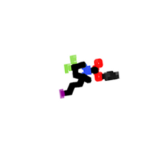 CC(C)(C)OC(=O)N1CC(F)(F)CC1(C)CCCI